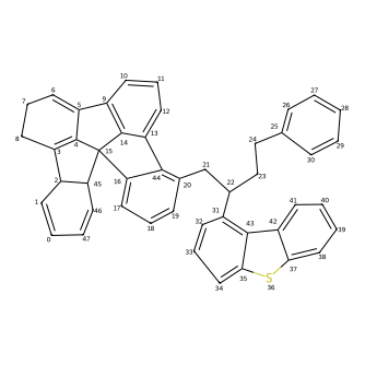 C1=CC2C3=C4C(=CCC3)c3cccc5c3C4(c3cccc(CC(CCc4ccccc4)c4cccc6sc7ccccc7c46)c3-5)C2C=C1